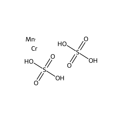 O=S(=O)(O)O.O=S(=O)(O)O.[Cr].[Mn]